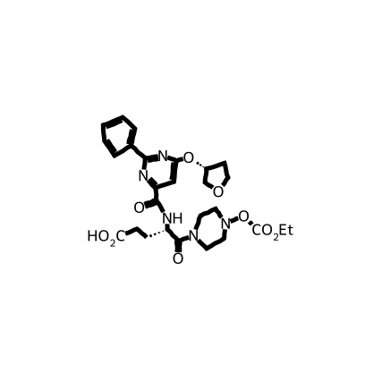 CCOC(=O)ON1CCN(C(=O)[C@H](CCC(=O)O)NC(=O)c2cc(O[C@@H]3CCOC3)nc(-c3ccccc3)n2)CC1